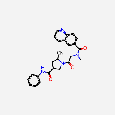 CN(CC(=O)N1CC(C(=O)Nc2ccccc2)CC1C#N)C(=O)c1ccc2ncccc2c1